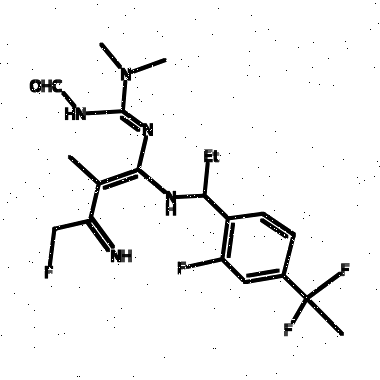 CCC(NC(/N=C(\NC=O)N(C)C)=C(/C)C(=N)CF)c1ccc(C(C)(F)F)cc1F